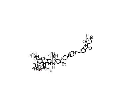 [2H]C([2H])([2H])Oc1ccc(Nc2nc(Nc3cc(CC)c(N4CCC(N5CCN(CCc6ccc7c(c6)CN(C6CCC(=O)NC6=O)C7=O)CC5)CC4)cc3OC([2H])([2H])[2H])ncc2Cl)c(N(C([2H])([2H])[2H])S(C)(=O)=O)c1